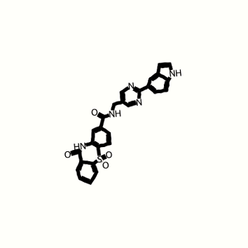 O=C(NCc1cnc(-c2ccc3[nH]ccc3c2)nc1)c1ccc2c(c1)NC(=O)c1ccccc1S2(=O)=O